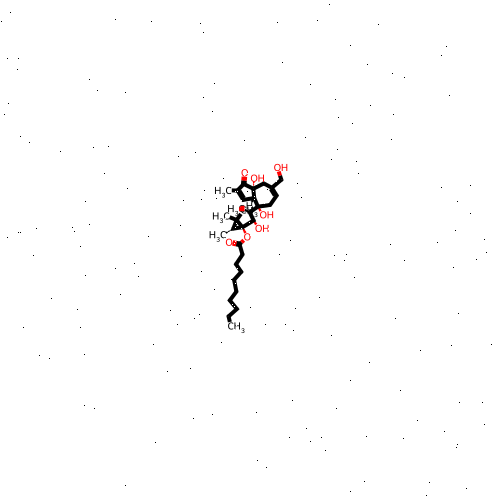 CCCCCCCCCC(=O)O[C@@]1([C@H](O)[C@@H](C)[C@@]2(O)CC=C(CO)C[C@]3(O)C(=O)C(C)=C[C@@H]23)[C@H](C)C1(C)C